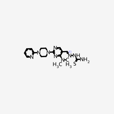 CN(C)c1nc(N2CCN(c3ccccn3)CC2)ncc1/C=N/NC(N)=S